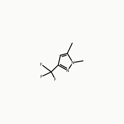 Cc1[c]c(C(F)(F)F)nn1C